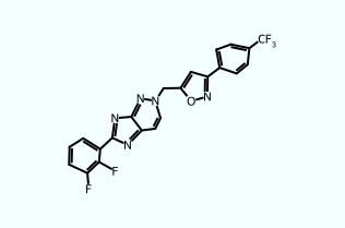 Fc1cccc(-c2nc3ccn(Cc4cc(-c5ccc(C(F)(F)F)cc5)no4)nc-3n2)c1F